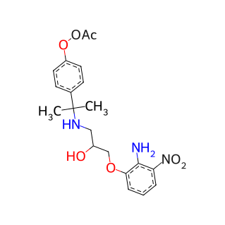 CC(=O)OOc1ccc(C(C)(C)NCC(O)COc2cccc([N+](=O)[O-])c2N)cc1